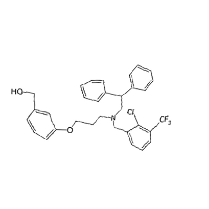 OCc1cccc(OCCCN(Cc2cccc(C(F)(F)F)c2Cl)CC(c2ccccc2)c2ccccc2)c1